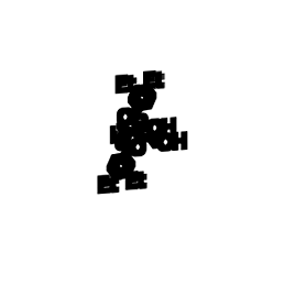 CCc1ccc(C2OC[C@@H]3OC(c4ccc(CC)c(CC)c4)O[C@H]([C@H](O)CO)[C@@H]3O2)cc1CC